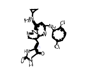 O=C1NC(=O)/C(=C/c2cnn3c(NC4CC4)cc(Nc4cc(Cl)ccc4Cl)nc23)N1